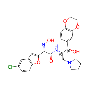 O=C(N[C@H](CN1CCCC1)[C@H](O)c1ccc2c(c1)OCCO2)C(=NO)c1cc2cc(Cl)ccc2o1